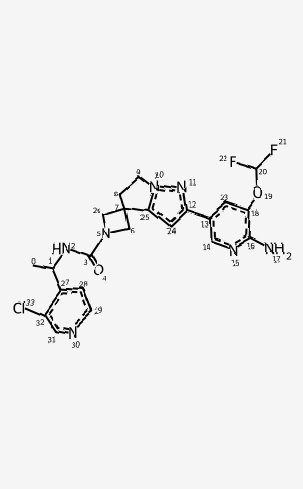 CC(NC(=O)N1CC2(CCn3nc(-c4cnc(N)c(OC(F)F)c4)cc32)C1)c1ccncc1Cl